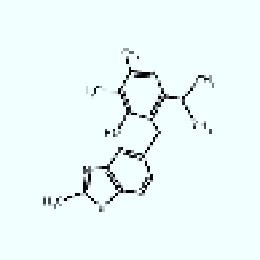 Cc1nc2cc(Cc3c(C(C)C)nc(C)c(C)c3O)ccc2s1